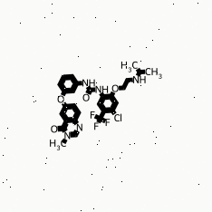 CC(C)NCCOc1cc(Cl)c(C(F)(F)F)cc1NC(=O)Nc1cccc(Oc2ccc3ncn(C)c(=O)c3c2)c1